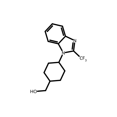 OCC1CCC(n2c(C(F)(F)F)nc3ccccc32)CC1